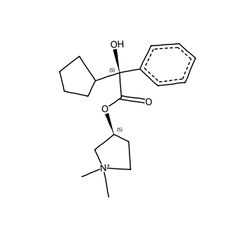 C[N+]1(C)CC[C@H](OC(=O)[C@@](O)(c2ccccc2)C2CCCC2)C1